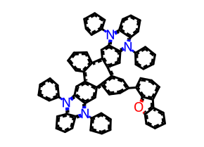 c1ccc(-n2c3ccccc3n(-c3ccccc3)c3cc4c5ccc(-c6cccc7c6oc6ccccc67)cc5c5cc6c(cc5c5ccccc5c4cc32)n(-c2ccccc2)c2ccccc2n6-c2ccccc2)cc1